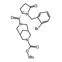 CC(C)(C)OC(=O)N1CC2CC(C1)CN(C(=O)[C@@H]1CCC(=O)N1Cc1ccccc1Br)C2